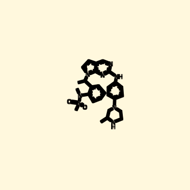 CC1CN(c2ccc(Nc3ncc4ccn(C(C)c5ccccc5N(C)S(C)(=O)=O)c4n3)cc2)CCN1